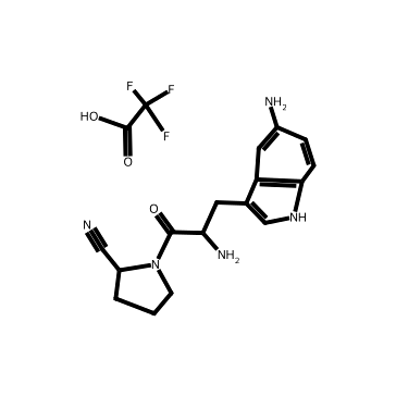 N#CC1CCCN1C(=O)C(N)Cc1c[nH]c2ccc(N)cc12.O=C(O)C(F)(F)F